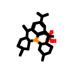 CC1CCC(C(C)C)C(P(c2ccc(C(C)C)cc2S(=O)(=O)O)C2CC(C)CCC2C(C)C)C1